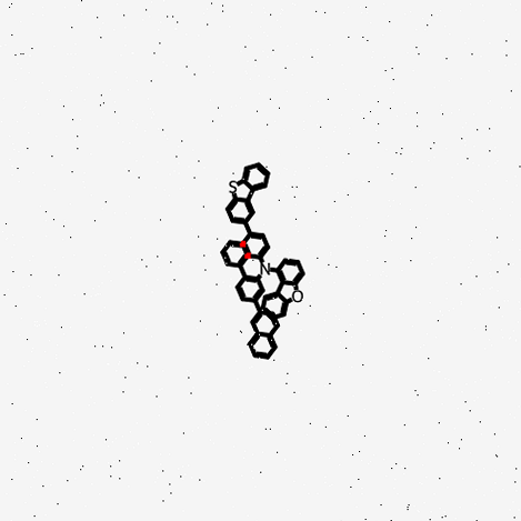 c1ccc(-c2ccc(-c3ccc4ccccc4c3)cc2N(c2ccc(-c3ccc4sc5ccccc5c4c3)cc2)c2cccc3oc4ccccc4c23)cc1